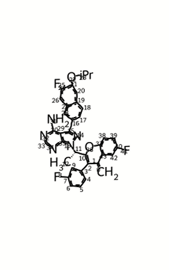 C=C1C(c2cccc(F)c2)=C([C@H](C)n2nc(-c3ccc4cc(OC(C)C)c(F)cc4c3)c3c(N)ncnc32)Oc2ccc(F)cc21